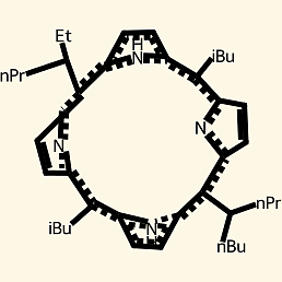 CCCCC(CCC)c1c2nc(c(C(C)CC)c3ccc([nH]3)c(C(CC)CCC)c3nc(c(C(C)CC)c4ccc1[nH]4)C=C3)C=C2